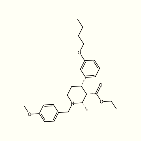 CCCCOc1cccc([C@H]2CCN(Cc3ccc(OC)cc3)[C@@H](C)[C@H]2C(=O)OCC)c1